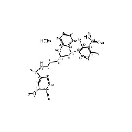 COc1cc(C(C)NCCC[C@H]2C[C@@H](c3ccc(C)c(C(=O)O)c3C)c3ccccc3O2)ccc1F.Cl